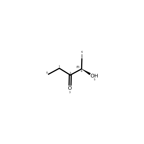 CCC(=O)[C@H](O)I